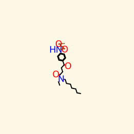 CCCCCCCN(CC)C(=O)CCC(=O)c1ccc(NS(C)(=O)=O)cc1